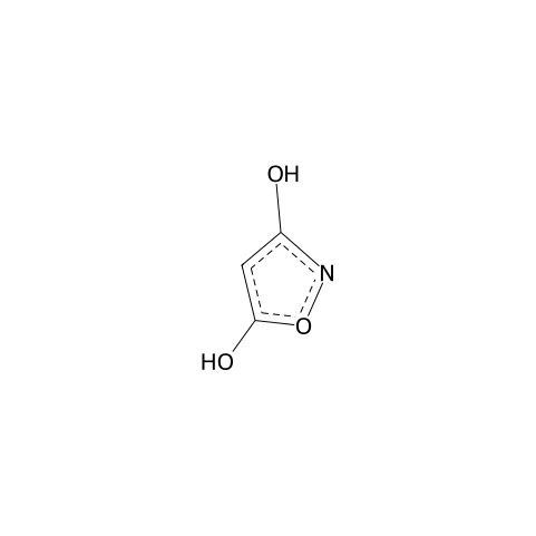 Oc1cc(O)on1